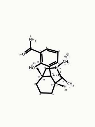 CO[C@@]1(c2cccc(C(N)=O)c2O)[C@@H]2CCC[C@H]1CN(C)C2.Cl